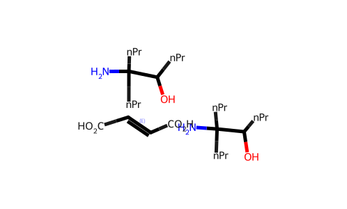 CCCC(O)C(N)(CCC)CCC.CCCC(O)C(N)(CCC)CCC.O=C(O)/C=C/C(=O)O